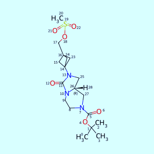 CC(C)(C)OC(=O)N1CCN2C(=O)N(C34CC(COS(C)(=O)=O)(C3)C4)C[C@@H]2C1